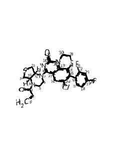 C=CC(=O)N1CCN(c2nc(=O)n3c4c(c(-c5ccc(F)cc5F)c(Cl)cc24)SCC3)[C@H]2CSC[C@H]21